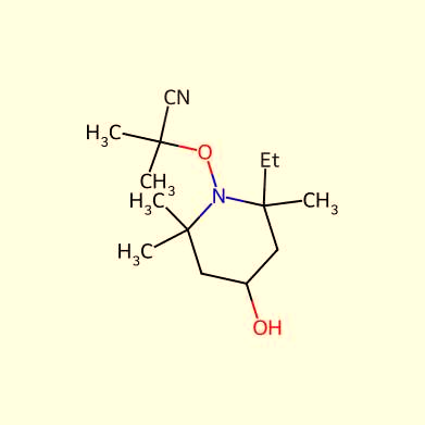 CCC1(C)CC(O)CC(C)(C)N1OC(C)(C)C#N